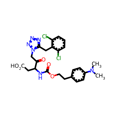 CN(C)c1ccc(CCOC(=O)NC(CC(=O)O)C(=O)Cn2nnnc2Cc2c(Cl)cccc2Cl)cc1